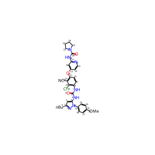 CCCCc1cc(NC(=O)Nc2ccc(Oc3ccnc(NC(=O)N4CCCC4)c3)c(C#N)c2Cl)n(-c2ccc(OC)cc2)n1